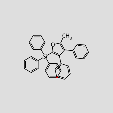 Cc1oc([Si](c2ccccc2)(c2ccccc2)c2ccccc2)c(-c2ccccc2)c1-c1ccccc1